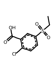 CCS(=O)(=O)c1ccc(Cl)c(C(=O)O)c1